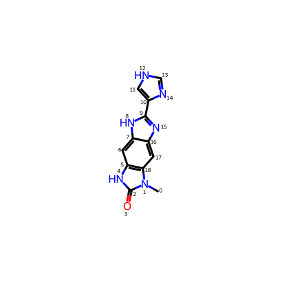 Cn1c(=O)[nH]c2cc3[nH]c(-c4c[nH]cn4)nc3cc21